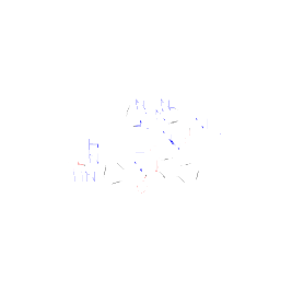 NC(=O)c1cnn(-c2ncccn2)c1/N=N/c1c(O)c(C(=O)Nc2ccc3[nH]c(=O)[nH]c3c2)cc2ccccc12